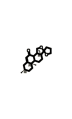 C[C@H]1CC[C@@]2(C)C(=CC(=O)C3C2CC[C@@]2(C)C3COC23CCCO3)C1